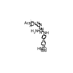 CC(=O)N1[C@H](C)CN(c2cc(-n3nc(Nc4ccc(N5CCN(C(=O)NC(C)(C)C)CC5)cc4)nc3N)ncn2)C[C@@H]1C